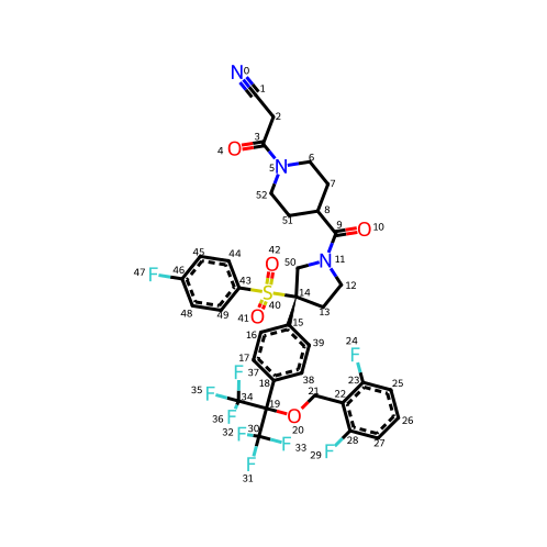 N#CCC(=O)N1CCC(C(=O)N2CC[C@](c3ccc(C(OCc4c(F)cccc4F)(C(F)(F)F)C(F)(F)F)cc3)(S(=O)(=O)c3ccc(F)cc3)C2)CC1